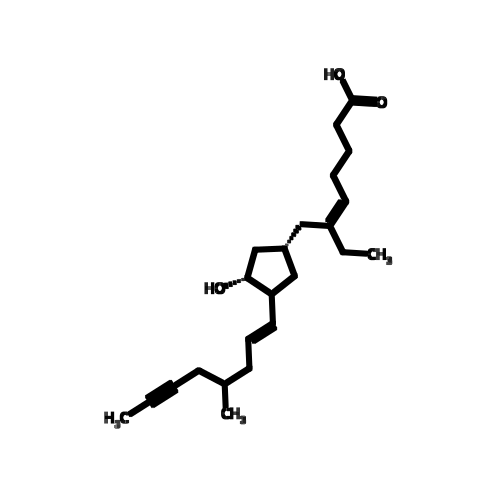 CC#CCC(C)C/C=C/C1C[C@@H](C/C(=C\CCCC(=O)O)CC)C[C@H]1O